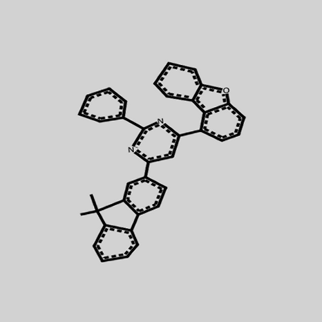 CC1(C)c2ccccc2-c2ccc(-c3cc(-c4cccc5oc6ccccc6c45)nc(-c4ccccc4)n3)cc21